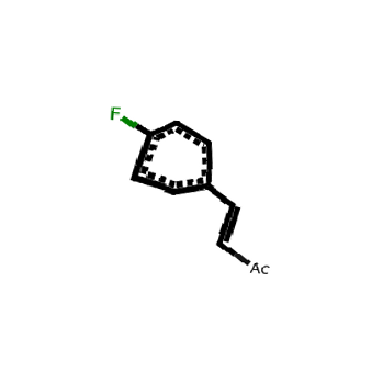 CC(=O)C=Cc1ccc(F)cc1